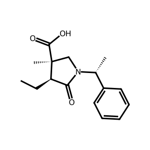 CC[C@@H]1C(=O)N([C@H](C)c2ccccc2)C[C@]1(C)C(=O)O